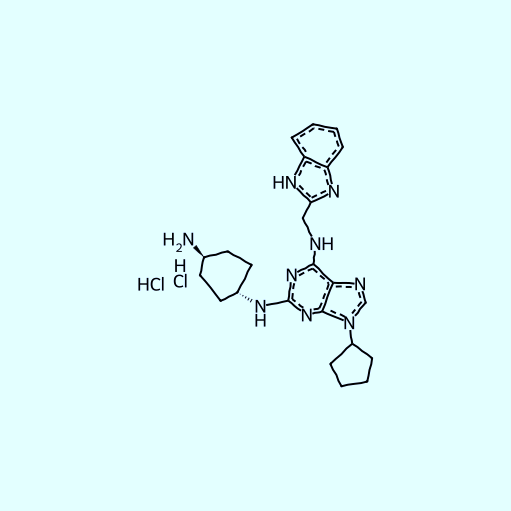 Cl.Cl.N[C@H]1CC[C@H](Nc2nc(NCc3nc4ccccc4[nH]3)c3ncn(C4CCCC4)c3n2)CC1